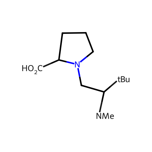 CNC(CN1CCCC1C(=O)O)C(C)(C)C